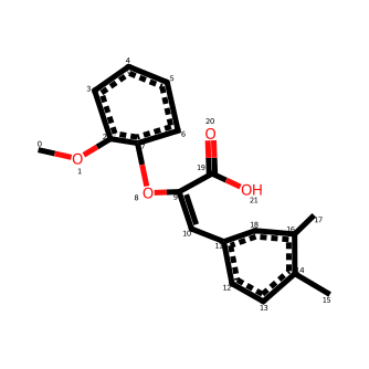 COc1ccccc1O/C(=C/c1ccc(C)c(C)c1)C(=O)O